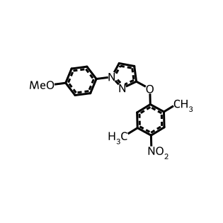 COc1ccc(-n2ccc(Oc3cc(C)c([N+](=O)[O-])cc3C)n2)cc1